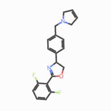 Fc1cccc(F)c1C1=NC(c2ccc(CN3CC=CC3)cc2)CO1